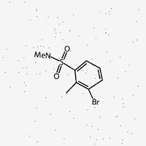 CNS(=O)(=O)c1cccc(Br)c1C